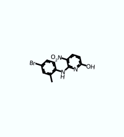 Cc1cc(Br)ccc1Nc1nc(O)ccc1[N+](=O)[O-]